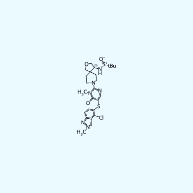 Cn1cc2c(Cl)c(Sc3cnc(N4CCC5(CC4)COC[C@H]5N[S@+]([O-])C(C)(C)C)n(C)c3=O)ccc2n1